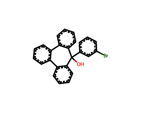 OC1(c2cccc(Br)c2)c2ccccc2-c2ccccc2-c2ccccc21